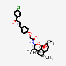 C[C@H]1[C@@H](NC(=O)COc2ccc(/C=C/C(=O)c3ccc(Cl)cc3)cc2)O[C@@H]2O[C@@]3(C)CC[C@H]4[C@H](C)CC[C@@H]1[C@@]24OO3